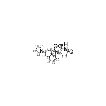 O=C1CCC(N2C(=O)c3cc(-n4cccc4)cc4cccc2c34)C(=O)N1